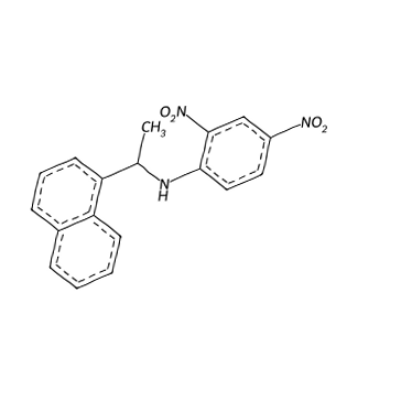 CC(Nc1ccc([N+](=O)[O-])cc1[N+](=O)[O-])c1cccc2ccccc12